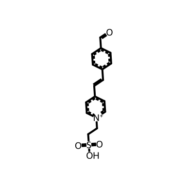 O=Cc1ccc(C=Cc2cc[n+](CCS(=O)(=O)O)cc2)cc1